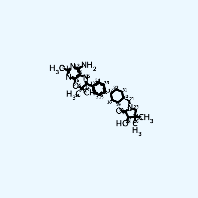 Cc1nc(N)c2c(n1)OC(C)(C)C(c1ccc([C@H]3CC[C@H](CN4CC(C)(C)C(O)C4=O)CC3)cc1)=N2